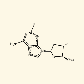 C[C@H]1C[C@H](n2cnc3c(N)nc(F)nc32)O[C@@H]1C=O